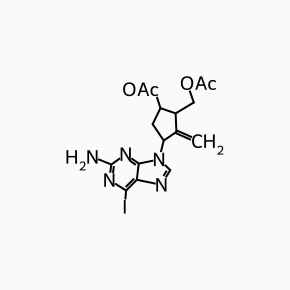 C=C1C(COC(C)=O)C(OC(C)=O)CC1n1cnc2c(I)nc(N)nc21